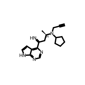 C#CCN(C1CCCC1)[C@H](C)CC(=N)c1ncnc2[nH]ccc12